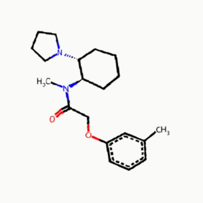 Cc1cccc(OCC(=O)N(C)[C@@H]2CCCC[C@H]2N2CCCC2)c1